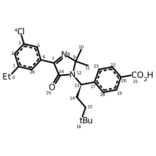 CCc1cc(Cl)cc(C2=NC(C)(C)N([C@H](CCC(C)(C)C)c3ccc(C(=O)O)cc3)C2=O)c1